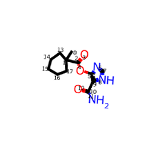 CC1(C(=O)Oc2nc[nH]c2C(N)=O)CCCCC1